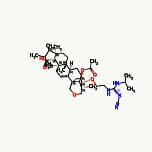 CC(=O)O[C@@H]1C[C@@]23COC[C@@](C)(C2CC[C@H]2C3=CC[C@@]3(C)[C@H](C(=O)O)[C@@](C)([C@H](C)C(C)C)CC[C@]23C)[C@H]1OCCN/C(=N\C#N)NC(C)C